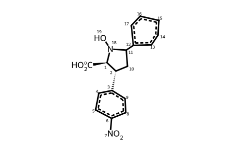 O=C(O)[C@@H]1[C@@H](c2ccc([N+](=O)[O-])cc2)CC(c2ccccc2)N1O